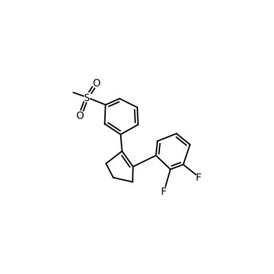 CS(=O)(=O)c1cccc(C2=C(c3cccc(F)c3F)CCC2)c1